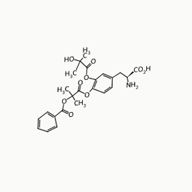 CC(C)(O)C(=O)Oc1cc(C[C@H](N)C(=O)O)ccc1OC(=O)C(C)(C)OC(=O)c1ccccc1